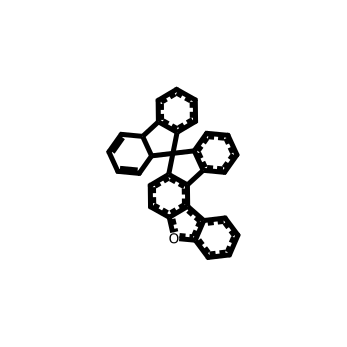 C1=CC2c3ccccc3C3(c4ccccc4-c4c3ccc3oc5ccccc5c43)C2C=C1